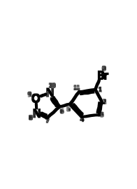 Brc1cccc(-c2cnon2)c1